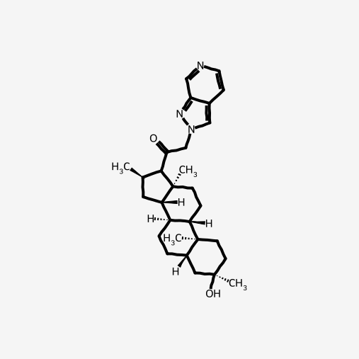 C[C@@H]1C[C@H]2[C@@H]3CC[C@H]4C[C@](C)(O)CC[C@]4(C)[C@H]3CC[C@]2(C)C1C(=O)Cn1cc2ccncc2n1